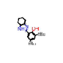 CC(C)(C)c1cc(/C=N/[C@@H]2CCCCC2N)c(O)c(C(C)(C)C)c1